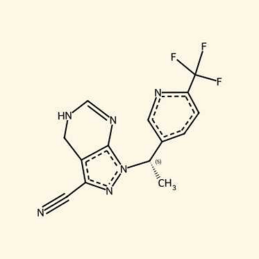 C[C@@H](c1ccc(C(F)(F)F)nc1)n1nc(C#N)c2c1N=CNC2